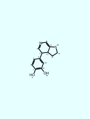 Oc1ccc(C2C=NC=C3SCCC32)cc1O